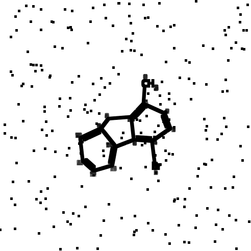 Cc1ccc(Br)c2c1Cc1ccccc1-2